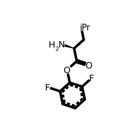 CC(C)C[C@H](N)C(=O)Oc1c(F)cccc1F